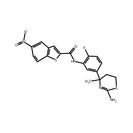 CC1(c2ccc(F)c(NC(=O)c3cc4cc([N+](=O)[O-])ccc4s3)c2)CCSC(N)=N1